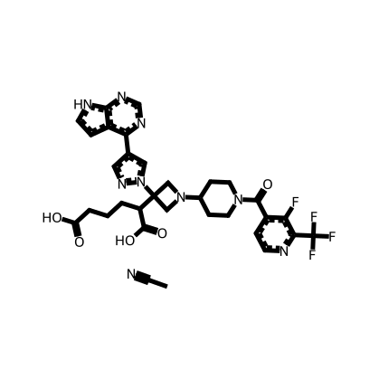 CC#N.O=C(O)CCCC(C(=O)O)C1(n2cc(-c3ncnc4[nH]ccc34)cn2)CN(C2CCN(C(=O)c3ccnc(C(F)(F)F)c3F)CC2)C1